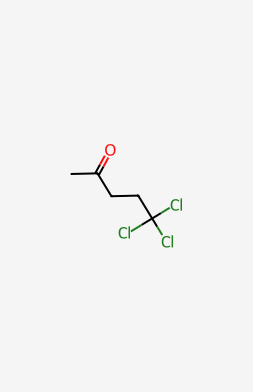 CC(=O)CCC(Cl)(Cl)Cl